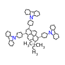 CC(C)(C)c1cc(-c2ccc(-n3c4ccccc4c4ccccc43)cc2)c2ccc3c(-c4ccc(-n5c6ccccc6c6ccccc65)cc4)cc(-c4ccc(-n5c6ccccc6c6ccccc65)cc4)c4ccc1c2c34